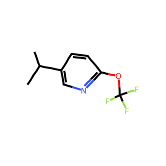 CC(C)c1ccc(OC(F)(F)F)nc1